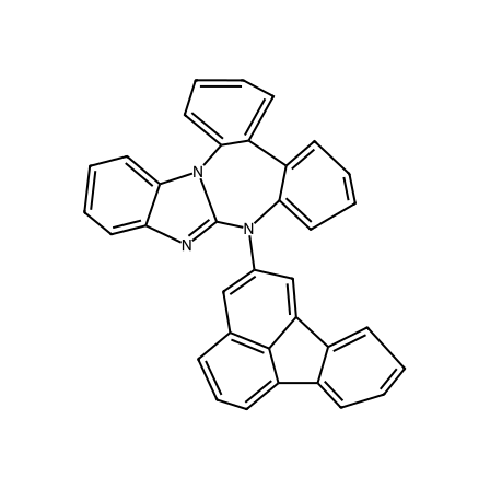 c1ccc2c(c1)-c1cccc3cc(N4c5ccccc5-c5ccccc5-n5c4nc4ccccc45)cc-2c13